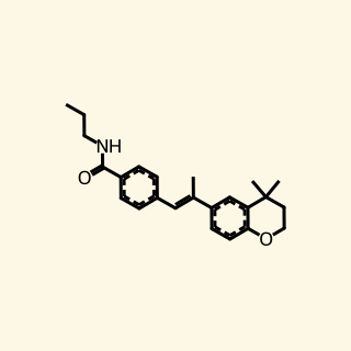 CCCNC(=O)c1ccc(C=C(C)c2ccc3c(c2)C(C)(C)CCO3)cc1